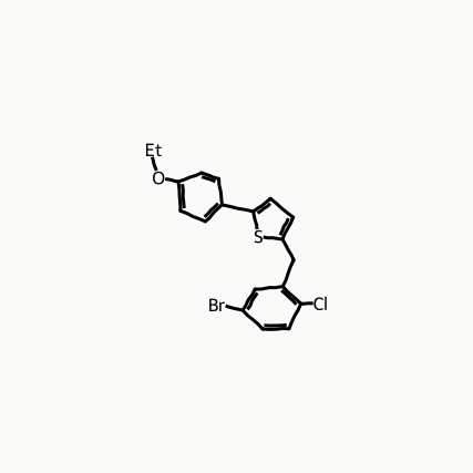 CCOc1ccc(-c2ccc(Cc3cc(Br)ccc3Cl)s2)cc1